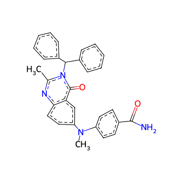 Cc1nc2ccc(N(C)c3ccc(C(N)=O)cc3)cc2c(=O)n1C(c1ccccc1)c1ccccc1